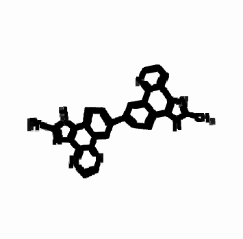 Cc1nc2c3cccnc3c3cc(-c4ccc5c(c4)c4nccnc4c4nc(C(C)C)[nH]c54)ccc3c2[nH]1